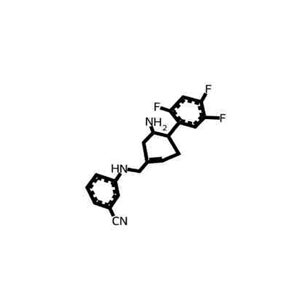 N#Cc1cccc(NCC2=CCC(c3cc(F)c(F)cc3F)C(N)C2)c1